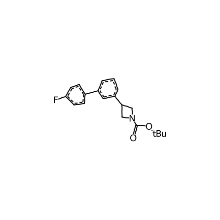 CC(C)(C)OC(=O)N1CC(c2cccc(-c3ccc(F)cc3)c2)C1